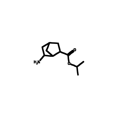 CC(C)OC(=O)C1CC2CC(N)C1C2